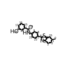 Cc1ccc2nc(-c3ccc(NC(=O)c4cccc(O)c4)cc3)sc2c1